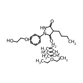 C=C.C=C.C=C.CCCCC1C(=O)NN(c2ccccc2)C1=O.CCOCC.OCCO